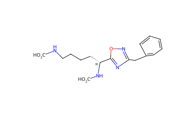 O=C(O)NCCCC[C@@H](NC(=O)O)c1nc(Cc2ccccc2)no1